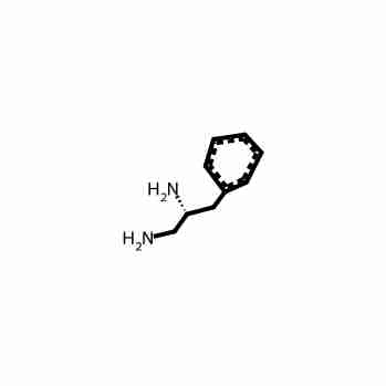 NC[C@H](N)Cc1ccccc1